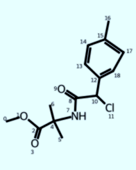 COC(=O)C(C)(C)NC(=O)C(Cl)c1ccc(C)cc1